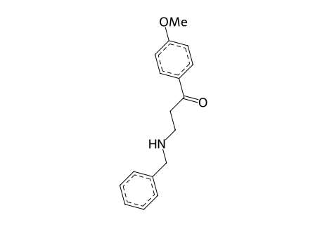 COc1ccc(C(=O)CCNCc2ccccc2)cc1